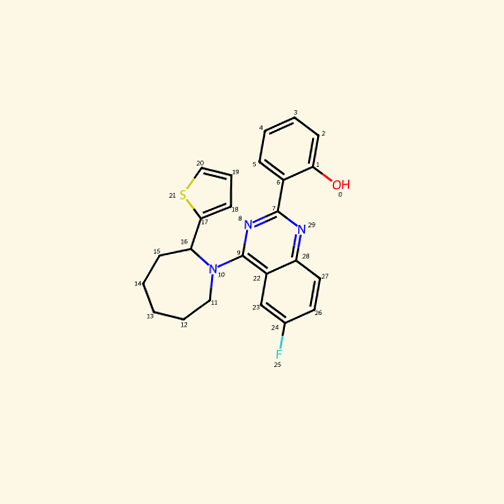 Oc1ccccc1-c1nc(N2CCCCCC2c2cccs2)c2cc(F)ccc2n1